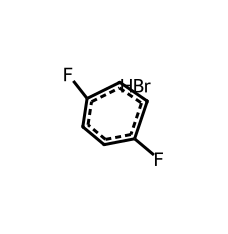 Br.Fc1ccc(F)cc1